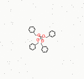 c1ccc(C[O][Ti]([O]Cc2ccccc2)([O]Cc2ccccc2)[O]Cc2ccccc2)cc1